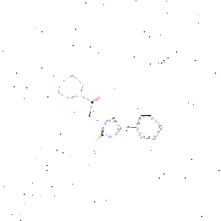 O=C(Cn1cc(-c2ccccc2)[nH]c1=S)N1CCOCC1